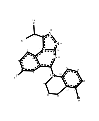 Fc1ccc2c(c1)c(N1CCCc3c(Br)cccc31)nc1nnc(C(F)F)n12